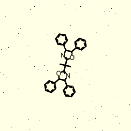 CC(C)(C1=NC(c2ccccc2)C(c2ccccc2)O1)C1=NC(c2ccccc2)C(c2ccccc2)O1